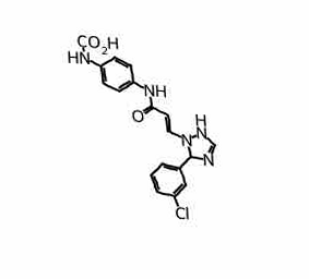 O=C(O)Nc1ccc(NC(=O)C=CN2NC=NC2c2cccc(Cl)c2)cc1